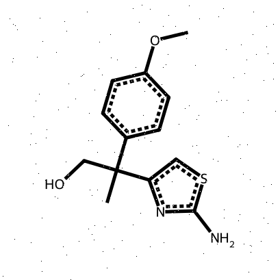 COc1ccc(C(C)(CO)c2csc(N)n2)cc1